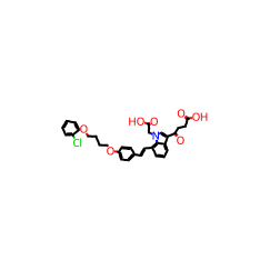 O=C(O)CCC(=O)c1cn(CC(=O)O)c2c(C=Cc3ccc(OCCCCOc4ccccc4Cl)cc3)cccc12